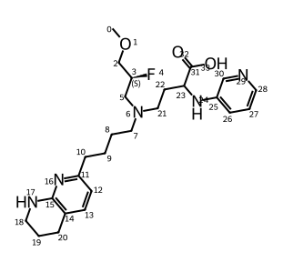 COC[C@@H](F)CN(CCCCc1ccc2c(n1)NCCC2)CCC(Nc1cccnc1)C(=O)O